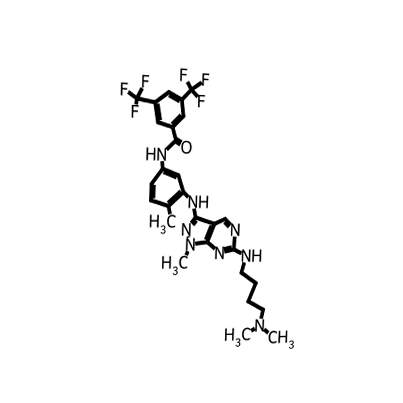 Cc1ccc(NC(=O)c2cc(C(F)(F)F)cc(C(F)(F)F)c2)cc1Nc1nn(C)c2nc(NCCCCN(C)C)ncc12